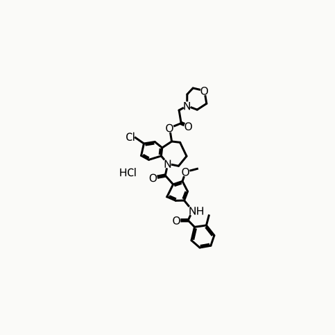 COc1cc(NC(=O)c2ccccc2C)ccc1C(=O)N1CCCC(OC(=O)CN2CCOCC2)c2cc(Cl)ccc21.Cl